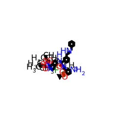 CN(Cc1cc(N)ccc1S(=O)(=O)C1CC1)C(=O)C(Nc1ccc2c(N(C(=O)OC(C)(C)C)C(=O)OC(C)(C)C)ncc(F)c2c1)c1cccc(CCNCc2ccccc2)c1